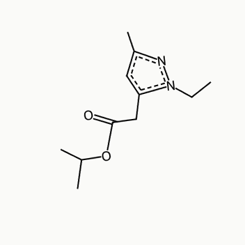 CCn1nc(C)cc1CC(=O)OC(C)C